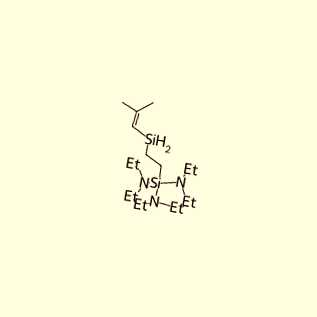 CCN(CC)[Si](CC[SiH2]C=C(C)C)(N(CC)CC)N(CC)CC